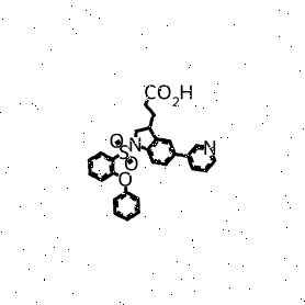 O=C(O)CCC1CN(S(=O)(=O)c2ccccc2Oc2ccccc2)c2ccc(-c3cccnc3)cc21